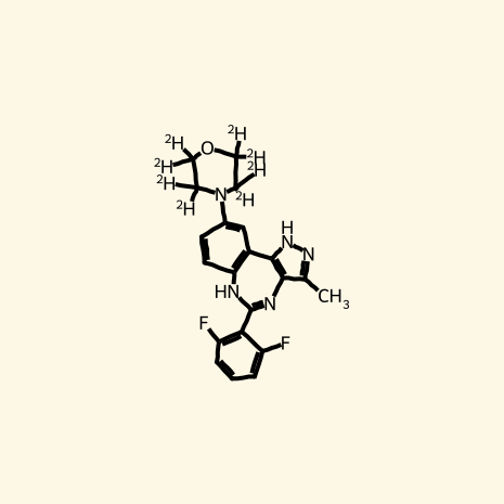 [2H]C1([2H])OC([2H])([2H])C([2H])([2H])N(c2ccc3c(c2)-c2[nH]nc(C)c2N=C(c2c(F)cccc2F)N3)C1([2H])[2H]